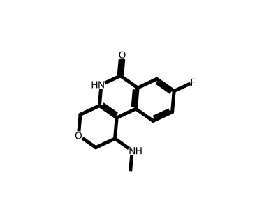 CNC1COCc2[nH]c(=O)c3cc(F)ccc3c21